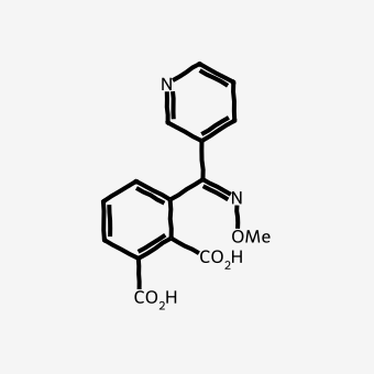 CON=C(c1cccnc1)c1cccc(C(=O)O)c1C(=O)O